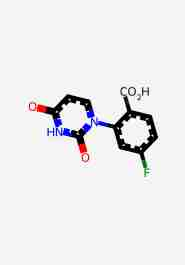 O=C(O)c1ccc(F)cc1-n1ccc(=O)[nH]c1=O